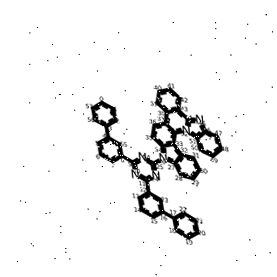 c1ccc(-c2cccc(-c3nc(-c4cccc(-c5ccccc5)c4)nc(-n4c5ccccc5c5c4ccc4c6ccccc6c6nc7ccccc7n6c45)n3)c2)cc1